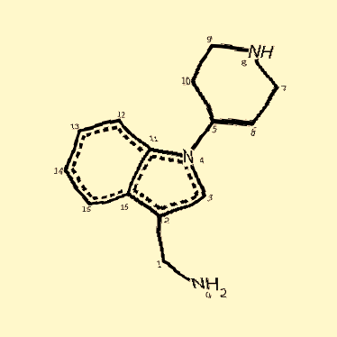 NCc1cn(C2CCNCC2)c2ccccc12